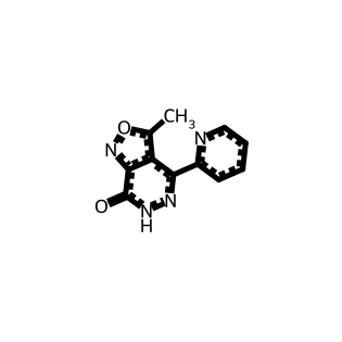 Cc1onc2c(=O)[nH]nc(-c3ccccn3)c12